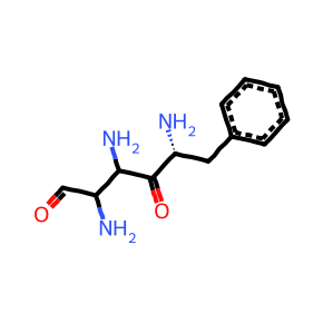 NC(C=O)C(N)C(=O)[C@H](N)Cc1ccccc1